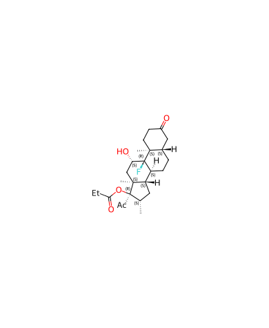 CCC(=O)O[C@]1(C(C)=O)[C@@H](C)C[C@H]2[C@@H]3CC[C@H]4CC(=O)CC[C@]4(C)[C@@]3(F)[C@@H](O)C[C@@]21C